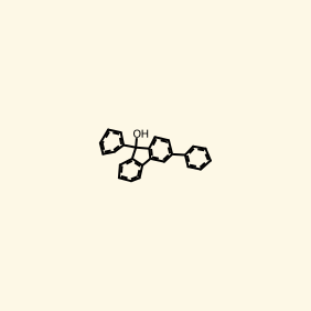 OC1(c2ccccc2)c2ccccc2-c2cc(-c3ccccc3)ccc21